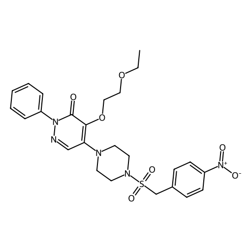 CCOCCOc1c(N2CCN(S(=O)(=O)Cc3ccc([N+](=O)[O-])cc3)CC2)cnn(-c2ccccc2)c1=O